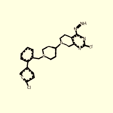 N=Nc1nc(Cl)nc2c1CCN(C1CCN(Cc3ccccc3-c3ccc(Cl)cc3)CC1)C2